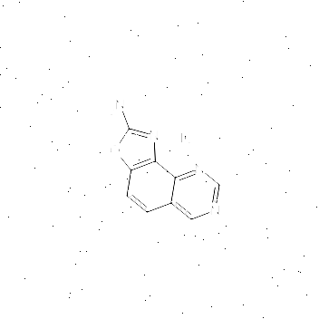 Cl.Nc1nc2c(ccc3cncnc32)o1